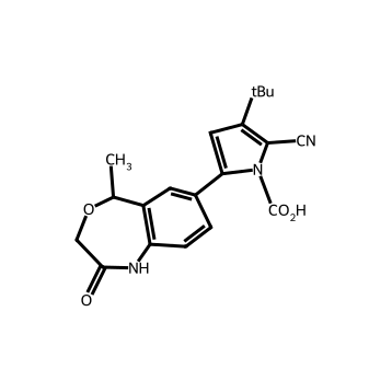 CC1OCC(=O)Nc2ccc(-c3cc(C(C)(C)C)c(C#N)n3C(=O)O)cc21